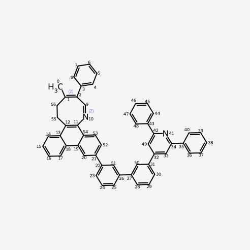 C/C1=C(c2ccccc2)/C=N\c2c(c3ccccc3c3cc(-c4cccc(-c5cccc(-c6cc(-c7ccccc7)nc(-c7ccccc7)c6)c5)c4)ccc23)CC1